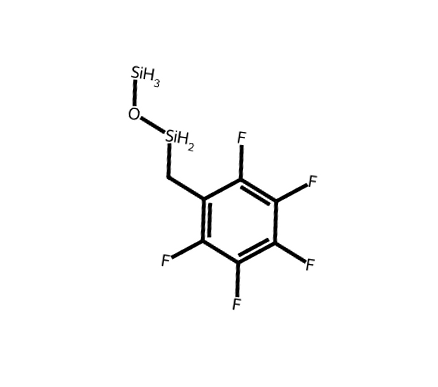 Fc1c(F)c(F)c(C[SiH2]O[SiH3])c(F)c1F